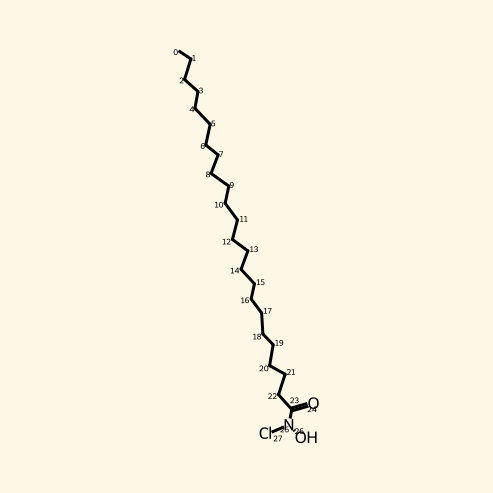 CCCCCCCCCCCCCCCCCCCCCCCC(=O)N(O)Cl